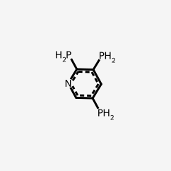 Pc1cnc(P)c(P)c1